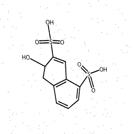 O=S(=O)(O)C1=Cc2c(cccc2S(=O)(=O)O)C[C]1O